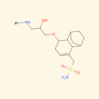 CC(C)NCC(O)COC1CC=C(CS(N)(=O)=O)C2C3CCC(CC3)C12